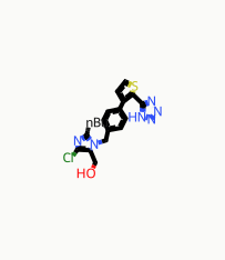 CCCCc1nc(Cl)c(CO)n1Cc1ccc(-c2ccsc2-c2nnn[nH]2)cc1